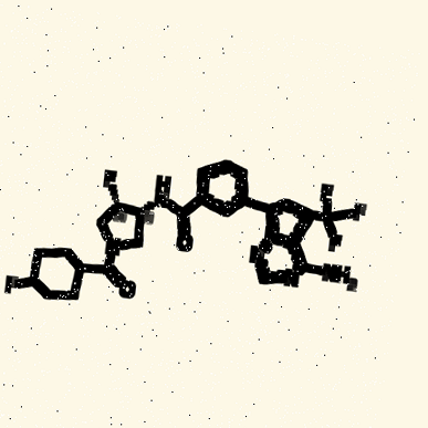 Nc1ncnn2c(-c3cccc(C(=O)N[C@@H]4CN(C(=O)C5CCC(F)CC5)C[C@@H]4F)c3)cc(C(F)(F)F)c12